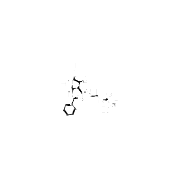 CCN(CC)C(=O)NCCNc1nc(-c2ccccc2)nc2[nH]c(C)c(C)c12